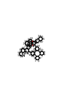 c1ccc2c(c1)-c1ccccc1-c1ccc(-c3nc4c(ccc5cccnc54)c4c3C3CC4c4ccccc43)cc1-c1cc(-c3nc4c(ccc5cccnc54)c4c3C3CC4c4ccccc43)ccc1-2